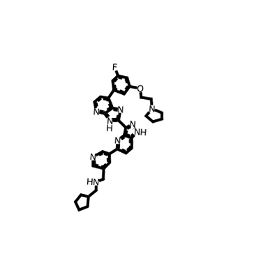 Fc1cc(OCCN2CCCC2)cc(-c2ccnc3[nH]c(-c4n[nH]c5ccc(-c6cncc(CNCC7CCCC7)c6)nc45)nc23)c1